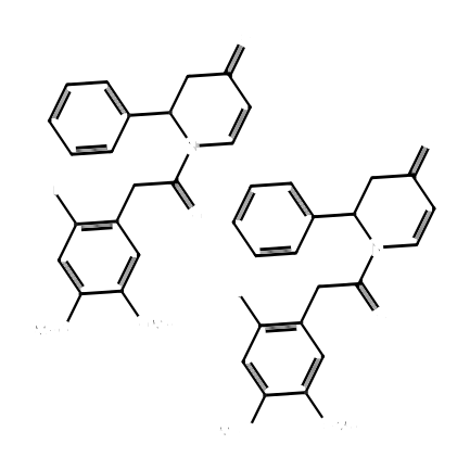 COc1cc(I)c(CC(=O)N2C=CC(=O)CC2c2ccccc2)cc1OC.COc1cc(I)c(CC(=O)N2C=CC(=O)CC2c2ccccc2)cc1OC